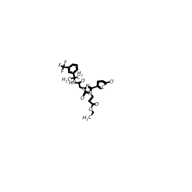 CCOC(=O)/C=C/n1c(-c2ccc(Cl)cc2)nn(CC(=O)NC(C)(C)c2cccc(C(F)(F)F)c2)c1=O